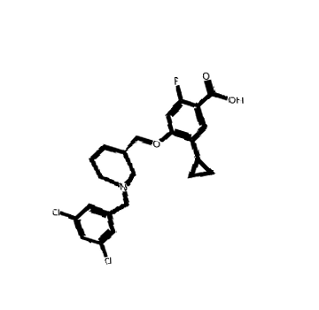 O=C(O)c1cc(C2CC2)c(OC[C@@H]2CCCN(Cc3cc(Cl)cc(Cl)c3)C2)cc1F